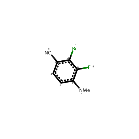 CNc1ccc(C#N)c(Br)c1F